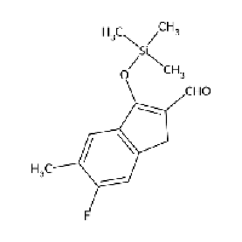 Cc1cc2c(cc1F)CC(C=O)=C2O[Si](C)(C)C